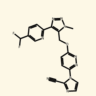 Cn1nnc(-c2ccc(C(F)F)cn2)c1COc1ccc(-n2ccnc2C#N)nn1